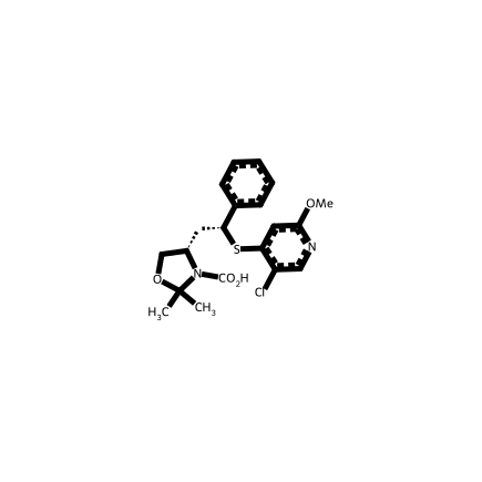 COc1cc(S[C@H](C[C@H]2COC(C)(C)N2C(=O)O)c2ccccc2)c(Cl)cn1